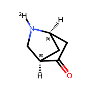 [2H]N1C[C@H]2C[C@@H]1CC2=O